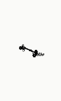 COc1ccccc1-c1c(OC)cccc1OCCCCCCCCCN1C(=O)c2ccccc2C1=O